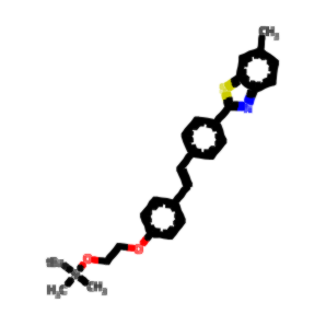 Cc1ccc2nc(-c3ccc(/C=C/c4ccc(OCCO[Si](C)(C)C(C)(C)C)cc4)cc3)sc2c1